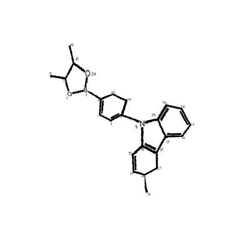 CC1OB(C2=CC=C(n3c4c(c5ccccc53)C[C@@H](C)C=C4)CC2)OC1C